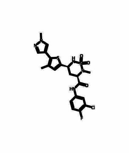 Cc1cc([C@@H]2C[C@H](C(=O)Nc3ccc(F)c(Cl)c3)N(C)S(=O)(=O)N2)sc1-c1cnn(C)c1